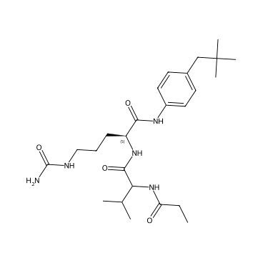 CCC(=O)NC(C(=O)N[C@@H](CCCNC(N)=O)C(=O)Nc1ccc(CC(C)(C)C)cc1)C(C)C